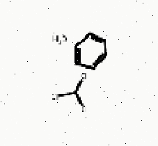 ClC(Cl)Cl.O.c1ccccc1